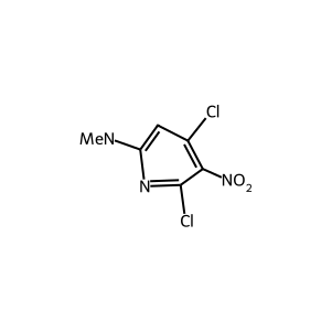 CNc1cc(Cl)c([N+](=O)[O-])c(Cl)n1